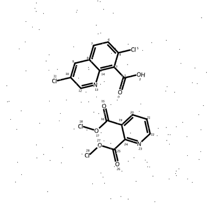 O=C(O)c1c(Cl)ccc2cc(Cl)cnc12.O=C(OCl)c1cccnc1C(=O)OCl